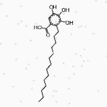 CCCCCCCCCCCCCCc1c(C(=O)O)cc(O)c(O)c1O